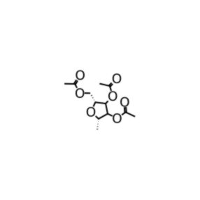 CC(=O)OC[C@H]1O[C@@H](C)C(OC(C)=O)C1OC(C)=O